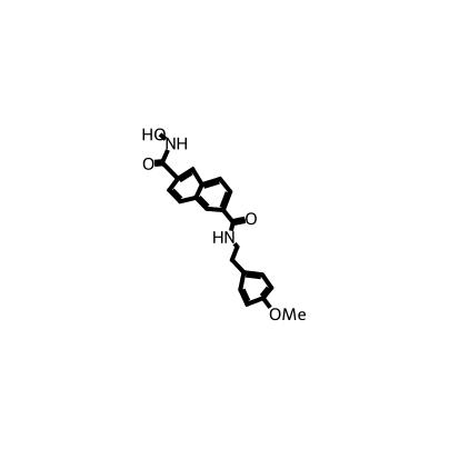 COc1ccc(CCNC(=O)c2ccc3cc(C(=O)NO)ccc3c2)cc1